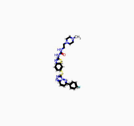 CN1CCN(CCNC(=O)Nc2nc3ccc(Sc4nnc5ccc(-c6ccc(F)cc6)nn45)cc3s2)CC1